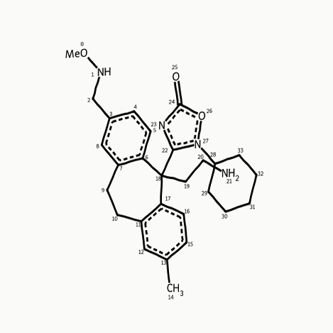 CONCc1ccc2c(c1)CCc1cc(C)ccc1C2(CCN)c1nc(=O)on1C1CCCCC1